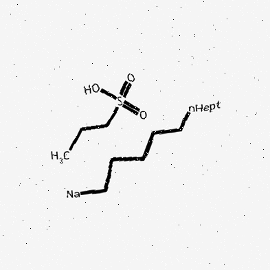 CCCCCCCCCCC[CH2][Na].CCCS(=O)(=O)O